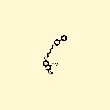 CCCCc1cc(OC)c2cc(OCCCCCCN3CCC(c4ccccc4)CC3)ccc2n1